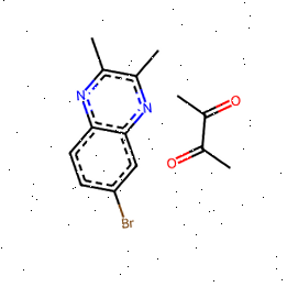 CC(=O)C(C)=O.Cc1nc2ccc(Br)cc2nc1C